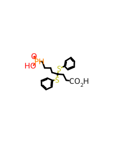 O=C(O)CCC(CCCC[PH](=O)O)(Sc1ccccc1)Sc1ccccc1